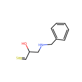 OC(C=S)CNCc1ccccc1